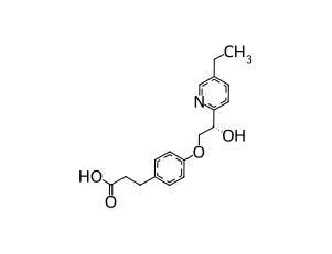 CCc1ccc([C@H](O)COc2ccc(CCC(=O)O)cc2)nc1